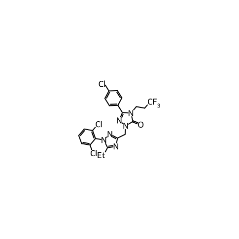 CCc1nc(Cn2nc(-c3ccc(Cl)cc3)n(CCC(F)(F)F)c2=O)nn1-c1c(Cl)cccc1Cl